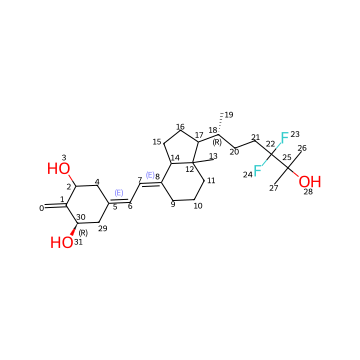 C=C1C(O)C/C(=C\C=C2/CCCC3(C)C2CCC3[C@H](C)CCC(F)(F)C(C)(C)O)C[C@H]1O